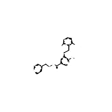 CNc1ncc(C(=O)NCCc2ccncc2)cc1CCc1c(C)cccc1C